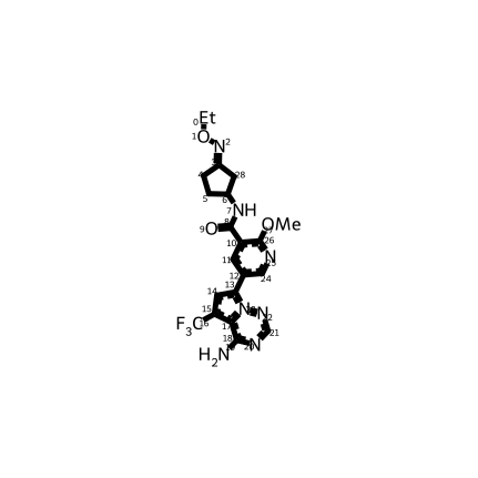 CCO/N=C1\CCC(NC(=O)c2cc(-c3cc(C(F)(F)F)c4c(N)ncnn34)cnc2OC)C1